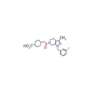 Cc1nn(Cc2cccc(F)c2)c2c1CCN(C(=O)CC1CCC(C(=O)O)CC1)C2